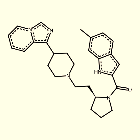 Cc1ccc2cc(C(=O)N3CCC[C@H]3CCN3CCC(c4ncn5ccccc45)CC3)[nH]c2c1